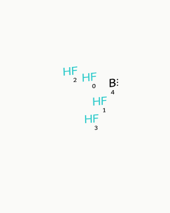 F.F.F.F.[B]